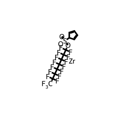 O=S(=O)(OC(F)(F)C(F)(F)C(F)(F)C(F)(F)C(F)(F)C(F)(F)C(F)(F)C(F)(F)F)C1C=CC=C1.[Zr]